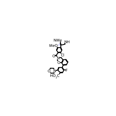 CN/C=C(\C=N)c1cc(Cl)c(C(=O)N2COc3c(cccc3-c3cc(N4CCOCC4)c(C(=O)O)cc3F)C2)cc1OC